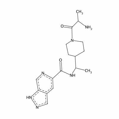 CC(N)C(=O)N1CCC(C(C)NC(=O)c2cc3cn[nH]c3cn2)CC1